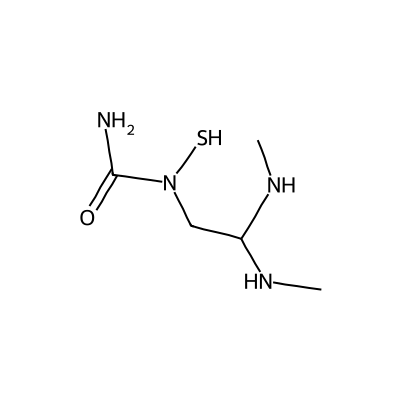 CNC(CN(S)C(N)=O)NC